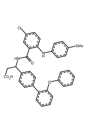 CSc1ccc(Nc2ccc(Cl)cc2C(=O)NC(CC(=O)O)c2ccc(-c3ccccc3Oc3ccccc3)cc2)cc1